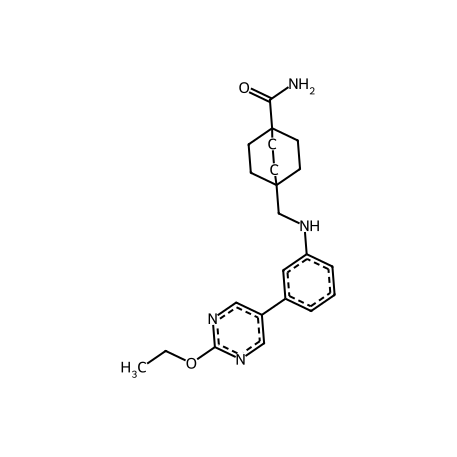 CCOc1ncc(-c2cccc(NCC34CCC(C(N)=O)(CC3)CC4)c2)cn1